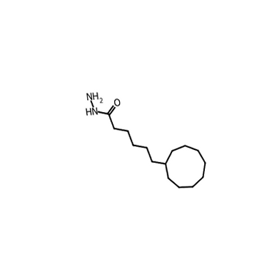 NNC(=O)CCCCCC1CCCCCCCC1